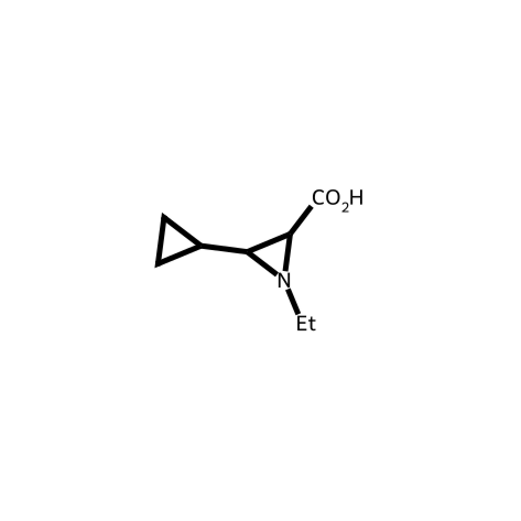 CCN1C(C(=O)O)C1C1CC1